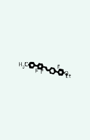 CCOc1ccc(C2=CCC(CCc3ccc(-c4ccc(C)cc4)c(F)c3F)CC2)c(F)c1